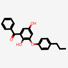 CCCc1ccc(Oc2cc(O)cc(C(=O)c3ccccc3)c2O)cc1